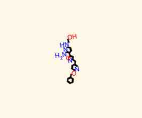 Nc1nc(NCCO)ccc1-c1cc(Cc2ccc(OCc3ccccc3)nc2)no1